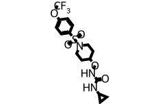 O=C(NOC1CCN(S(=O)(=O)c2ccc(OC(F)(F)F)cc2)CC1)NC1CC1